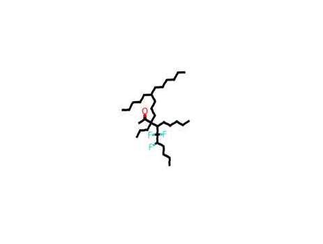 CCCCCCC(CCCCC)CCCC(CCC)(C(C)=O)C(CCCCC)C(F)(F)C(F)CCCC